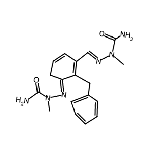 CN(N=CC1=C(Cc2ccccc2)C(=NN(C)C(N)=O)CC=C1)C(N)=O